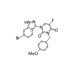 COc1ccc(Cn2c(=O)c(F)cn(-c3n[nH]c4cc(Br)ccc34)c2=O)cc1